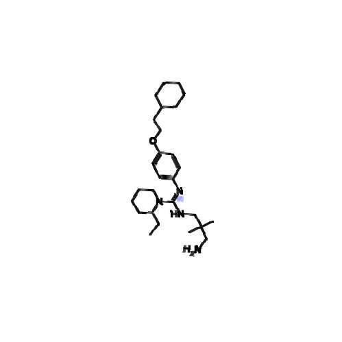 CCC1CCCCN1/C(=N\c1ccc(OCCC2CCCCC2)cc1)NCC(C)(C)CN